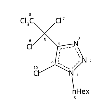 CCCCCCn1nnc(C(Cl)(Cl)C(Cl)(Cl)Cl)c1Cl